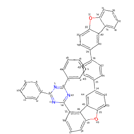 c1ccc(-c2nc(-c3ccccc3)nc(-c3cccc4oc5ccc(-c6ccc(-c7ccc8oc9ccccc9c8c7)cc6)cc5c34)n2)cc1